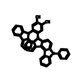 N#Cc1cc(-n2c3ccccc3c3ccccc32)c(-n2c3ccccc3c3c4c5ccccc5n(-c5ccccc5)c4ccc32)cc1C#N